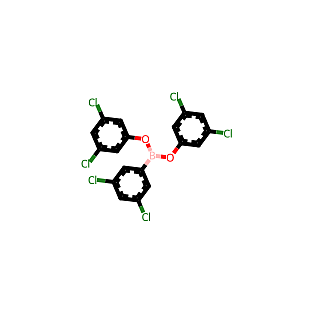 Clc1cc(Cl)cc(OB(Oc2cc(Cl)cc(Cl)c2)c2cc(Cl)cc(Cl)c2)c1